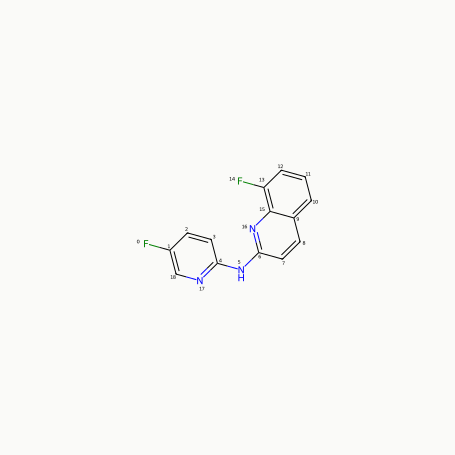 Fc1ccc(Nc2ccc3cccc(F)c3n2)nc1